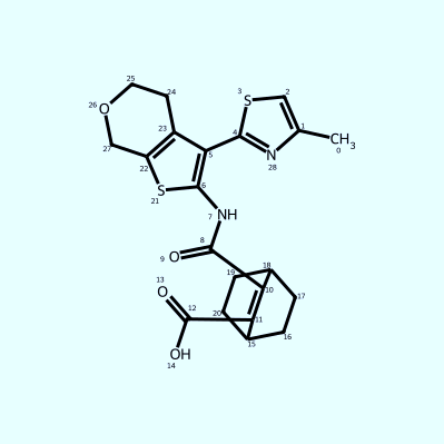 Cc1csc(-c2c(NC(=O)C3=C(C(=O)O)C4CCC3CC4)sc3c2CCOC3)n1